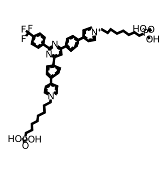 O=P(O)(O)CCCCCCCC[n+]1ccc(-c2ccc(-c3cc(-c4ccc(-c5cc[n+](CCCCCCCCP(=O)(O)O)cc5)cc4)nc(-c4ccc(C(F)(F)F)cc4)n3)cc2)cc1